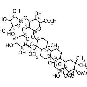 CO[C@H]1[C@H](O)[C@@]2(COC(C)=O)C(CC1(C)C)C1=CCC3[C@@]4(C)CC[C@H](O[C@@H]5OC(C(=O)O)[C@@H](O)C(O[C@@H]6O[C@@H](CO)C(O)[C@@H]6O)[C@@H]5O[C@@H]5OC(CO)[C@H](O)C(O)[C@@H]5O)C(C)(C)C4CC[C@@]3(C)[C@]1(C)C[C@H]2O